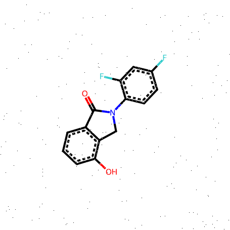 O=C1c2cccc(O)c2CN1c1ccc(F)cc1F